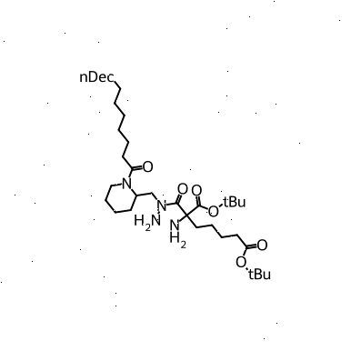 CCCCCCCCCCCCCCCCC(=O)N1CCCCC1CN(N)C(=O)C(N)(CCCCC(=O)OC(C)(C)C)C(=O)OC(C)(C)C